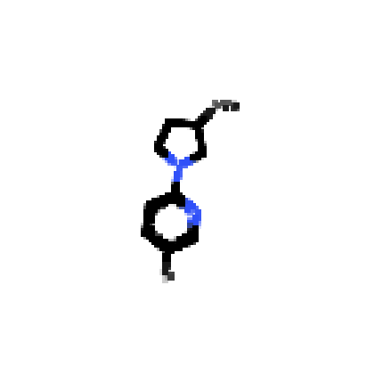 CNC1CCN(c2ccc(C(C)C)cn2)C1